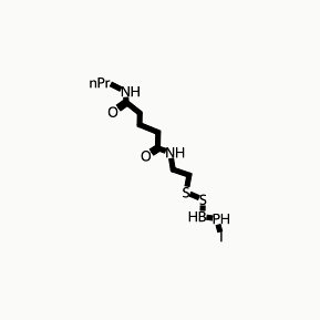 CCCNC(=O)CCCC(=O)NCCSSBPI